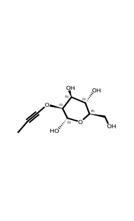 CC#CO[C@H]1[C@@H](O)[C@H](O)[C@@H](CO)O[C@@H]1O